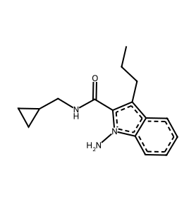 CCCc1c(C(=O)NCC2CC2)n(N)c2ccccc12